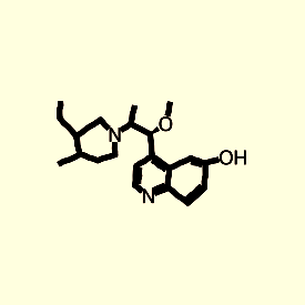 CCC1CN(C(C)[C@@H](OC)c2ccnc3ccc(O)cc23)CCC1C